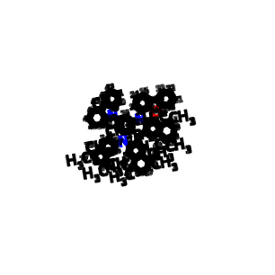 Cc1cc2c(cc1N1c3cc4c(cc3B3c5cc6c(cc5N(c5cccc7c5oc5ccccc57)c5cc(N7c8ccccc8C8(C)CCCCC78C)cc1c53)C(C)(C)CCC6(C)C)C(C)(C)CCC4(C)C)C(C)(C)CC2(C)C